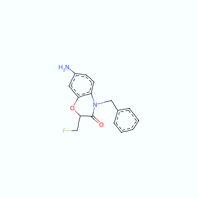 Nc1ccc2c(c1)OC(CF)C(=O)N2Cc1ccccc1